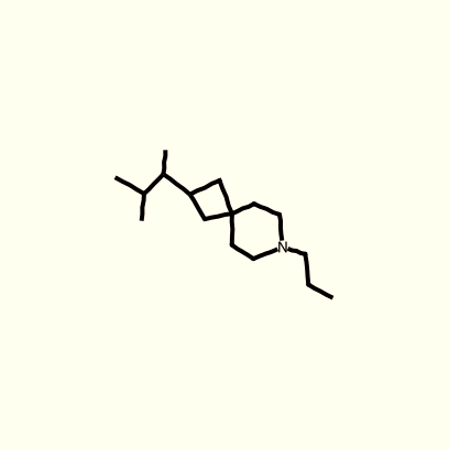 CCCN1CCC2(CC1)CC(C(C)C(C)C)C2